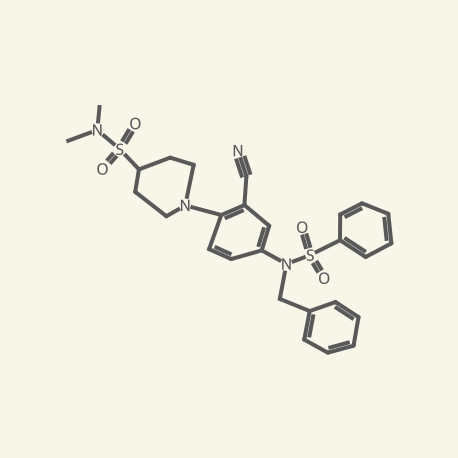 CN(C)S(=O)(=O)C1CCN(c2ccc(N(Cc3ccccc3)S(=O)(=O)c3ccccc3)cc2C#N)CC1